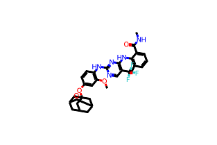 CNC(=O)c1cccc(C)c1Nc1nc(Nc2ccc(OC34CC5CC(C3)C(=O)C(C5)C4)cc2OC)ncc1C(F)(F)F